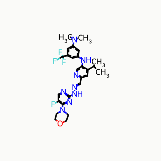 CC(C)c1cc(/C=N/Nc2ncc(F)c(N3CCOCC3)n2)ncc1Nc1cc(N(C)C)cc(C(F)(F)F)c1